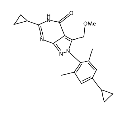 COCc1c2c(=O)[nH]c(C3CC3)nc2nn1-c1c(C)cc(C2CC2)cc1C